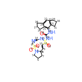 CS(=O)(=O)N1CCC[C@@H]1/C=C/S(=O)(=NC#N)NC(=O)Nc1c2c(cc3c1CCC3)CCC2